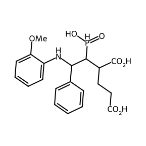 COc1ccccc1NC(c1ccccc1)C(C(CCC(=O)O)C(=O)O)[PH](=O)O